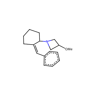 COC1CN(C2CCCC/C2=C/c2ccccc2)C1